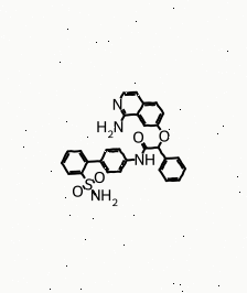 Nc1nccc2ccc(OC(C(=O)Nc3ccc(-c4ccccc4S(N)(=O)=O)cc3)c3ccccc3)cc12